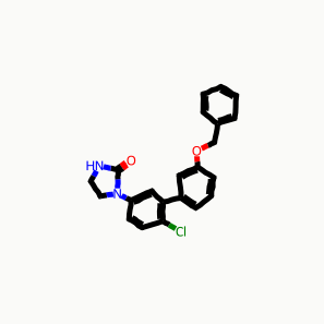 O=C1NCCN1c1ccc(Cl)c(-c2cccc(OCc3ccccc3)c2)c1